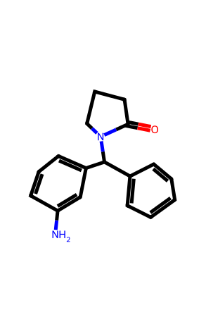 Nc1cccc(C(c2ccccc2)N2CCCC2=O)c1